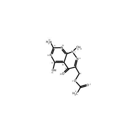 CC(=O)OCc1nn(C)c2nc(N)nc(O)c2c1=O